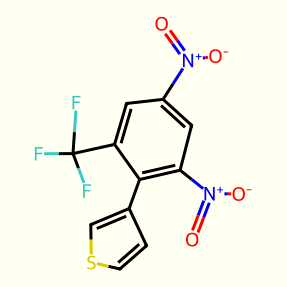 O=[N+]([O-])c1cc([N+](=O)[O-])c(-c2ccsc2)c(C(F)(F)F)c1